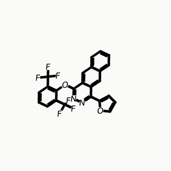 FC(F)(F)c1cccc(C(F)(F)F)c1Oc1nnc(-c2ccco2)c2cc3ccccc3cc12